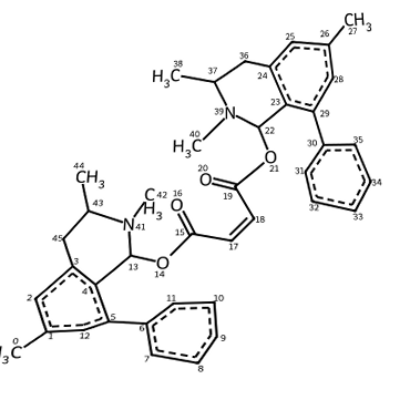 Cc1cc2c(c(-c3ccccc3)c1)C(OC(=O)/C=C\C(=O)OC1c3c(cc(C)cc3-c3ccccc3)CC(C)N1C)N(C)C(C)C2